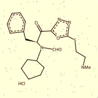 CNCCSc1nnc(C(=O)[C@H](Cc2ccccc2)N(C=O)C2CCCCC2)o1.Cl